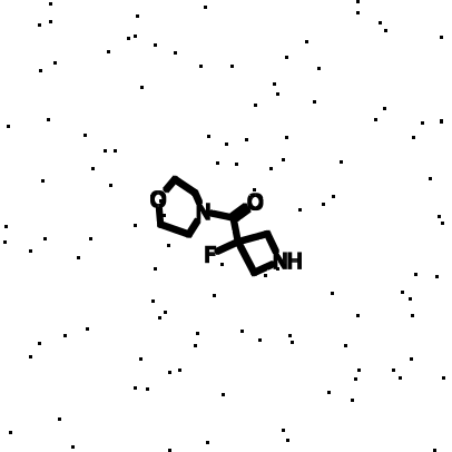 O=C(N1CCOCC1)C1(F)CNC1